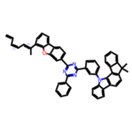 C=C/C=C\C=C(/C)c1cccc2c1oc1cc(-c3nc(-c4ccccc4)nc(-c4cccc(-n5c6ccccc6c6ccc7c(c65)-c5ccccc5C7(C)C)c4)n3)ccc12